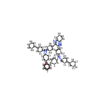 c1ccc(-c2ccc(N(c3ccc(-c4ccccc4)cc3)c3ccc(-c4nc5ccccc5nc4-c4ccc(N(c5ccc(-c6ccccc6)cc5)c5ccc(-c6ccccc6)cc5)cc4)cc3)cc2)cc1